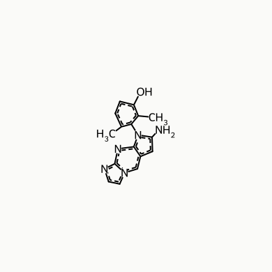 Cc1ccc(O)c(C)c1-n1c(N)cc2cn3ccnc3nc21